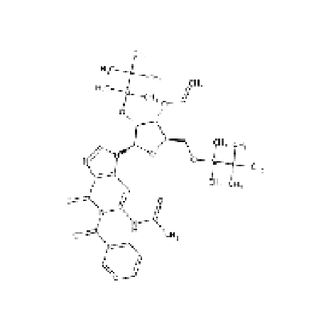 C=CO[C@H]1[C@@H](O[Si](C)(C)C(C)(C)C)[C@H](n2cnc3c(=O)n(C(=O)c4ccccc4)c(NC(C)=O)nc32)O[C@@H]1CO[Si](C)(C)C(C)(C)C